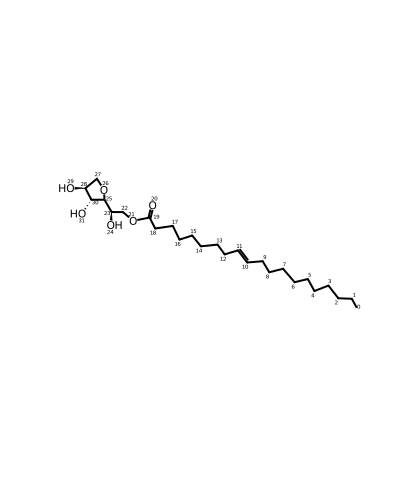 CCCCCCCCCC/C=C/CCCCCCCC(=O)OC[C@@H](O)C1OC[C@H](O)[C@H]1O